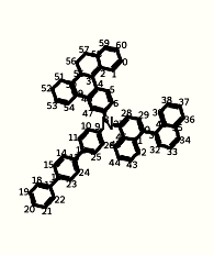 C1=CC2=C3c4ccc(N(c5ccc(-c6ccc(-c7ccccc7)cc6)cc5)c5ccc(-c6cccc7ccccc67)c6ccccc56)cc4C4=C(CCC=C4)C3CCC2C=C1